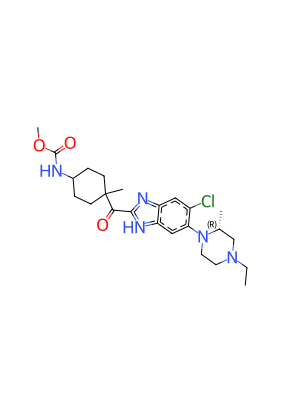 CCN1CCN(c2cc3[nH]c(C(=O)C4(C)CCC(NC(=O)OC)CC4)nc3cc2Cl)[C@H](C)C1